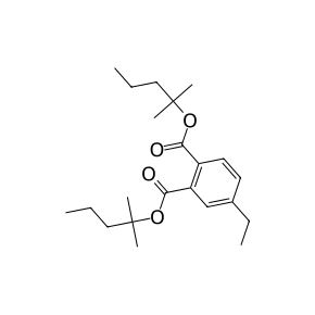 CCCC(C)(C)OC(=O)c1ccc(CC)cc1C(=O)OC(C)(C)CCC